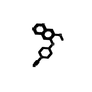 COc1cc2ncncc2cc1OC1CCN(C#N)CC1